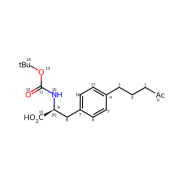 CC(=O)CCCc1ccc(C[C@H](NC(=O)OC(C)(C)C)C(=O)O)cc1